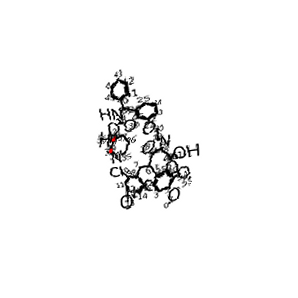 COc1ccc(C(Cc2c(Cl)c[n+]([O-])cc2Cl)c2oc(COc3cccc([C@@H](NC(=O)O[C@H]4CN5CCC4CC5)c4ccccc4)c3)nc2C(=O)O)cc1OC